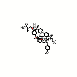 COc1ccc(CN(Cc2ccc(OC)cc2)S(=O)(=O)c2c(S(=O)(=O)CC[Si](C)(C)C)ccc(N3CCC(S(=O)(=O)NCCNC(=O)O)CC3)c2-c2nnn(Cc3ccc(OC)cc3)n2)cc1